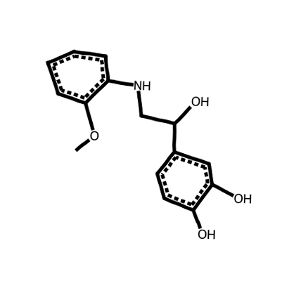 COc1ccccc1NCC(O)c1ccc(O)c(O)c1